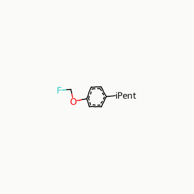 CCCC(C)c1ccc(OCF)cc1